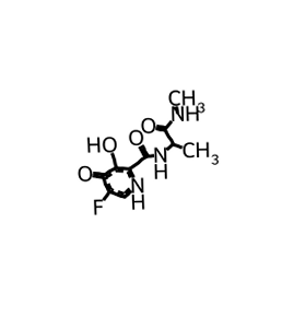 CNC(=O)C(C)NC(=O)c1[nH]cc(F)c(=O)c1O